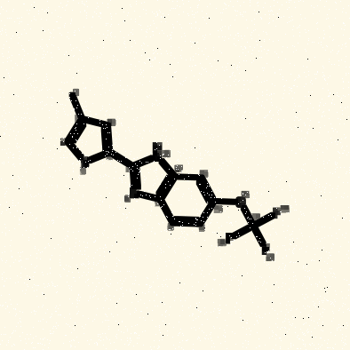 Cc1csc(-c2nc3ccc(OC(F)(F)F)cc3[nH]2)c1